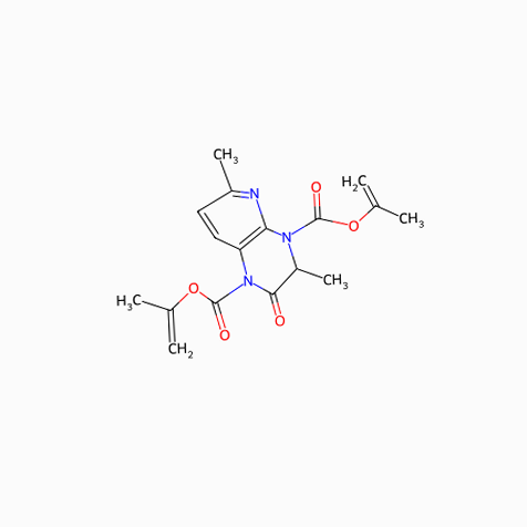 C=C(C)OC(=O)N1C(=O)C(C)N(C(=O)OC(=C)C)c2nc(C)ccc21